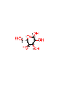 OC[C@@H]1OC(O)C(O)C(O)C1O